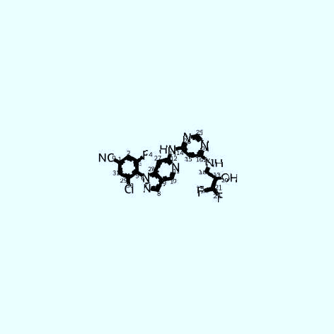 N#Cc1cc(F)c(-n2ncc3cnc(Nc4cc(NCC(O)C(F)F)ncn4)cc32)c(Cl)c1